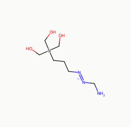 NC/N=N/CCC[Si](CO)(CO)CO